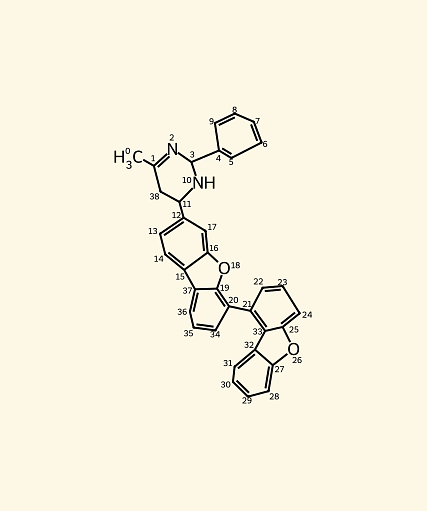 CC1=NC(c2ccccc2)NC(c2ccc3c(c2)oc2c(-c4cccc5oc6ccccc6c45)cccc23)C1